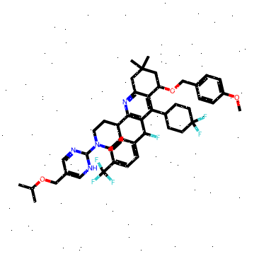 COc1ccc(COC2CC(C)(C)Cc3nc(C4CCN(C5N=CC(COC(C)C)=CN5)CC4)c(C(F)c4ccc(C(F)(F)F)cc4)c(C4CCC(F)(F)CC4)c32)cc1